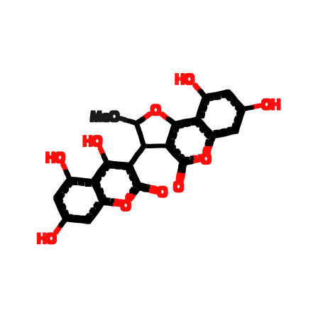 COC1Oc2c(c(=O)oc3cc(O)cc(O)c23)C1c1c(O)c2c(O)cc(O)cc2oc1=O